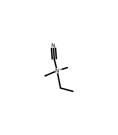 CC[N+](C)(C)C#N